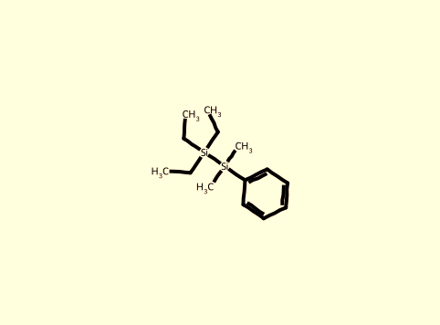 CC[Si](CC)(CC)[Si](C)(C)c1ccccc1